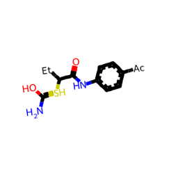 CCC([SH]=C(N)O)C(=O)Nc1ccc(C(C)=O)cc1